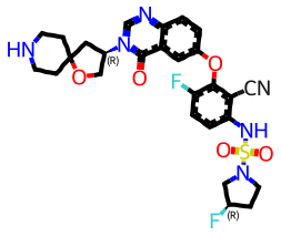 N#Cc1c(NS(=O)(=O)N2CC[C@@H](F)C2)ccc(F)c1Oc1ccc2ncn([C@H]3COC4(CCNCC4)C3)c(=O)c2c1